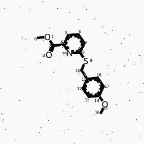 COC(=O)c1cccc(SCc2ccc(OC)cc2)n1